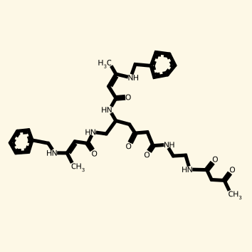 CC(=O)CC(=O)NCCNC(=O)CC(=O)CC(CNC(=O)C=C(C)NCc1ccccc1)NC(=O)C=C(C)NCc1ccccc1